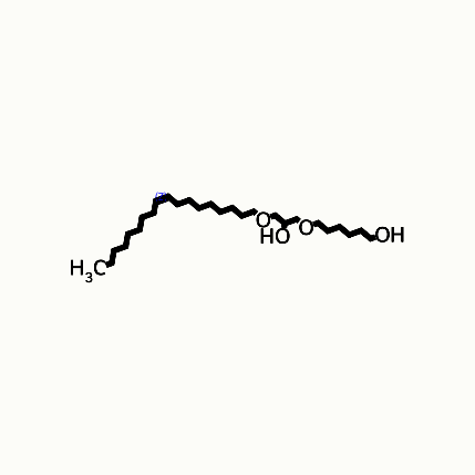 CCCCCCCC/C=C\CCCCCCCCOCC(O)COCCCCCCO